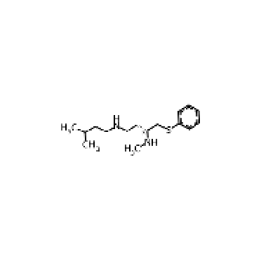 CN[C@H](CCNCCC(C)C)CSc1ccccc1